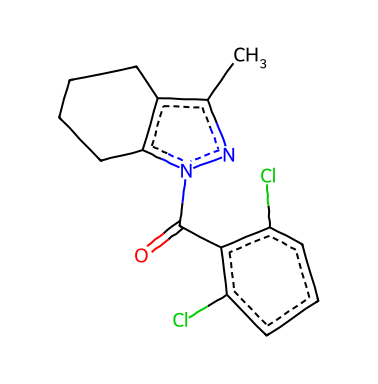 Cc1nn(C(=O)c2c(Cl)cccc2Cl)c2c1CCCC2